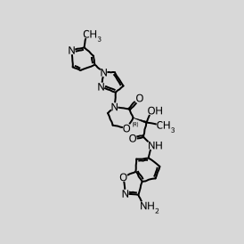 Cc1cc(-n2ccc(N3CCO[C@H](C(C)(O)C(=O)Nc4ccc5c(N)noc5c4)C3=O)n2)ccn1